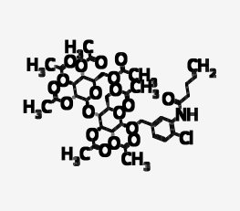 C=CCCC(=O)Nc1cc(CO[C@@H]2O[C@H](COC(C)=O)[C@@H](O[C@@H]3O[C@H](COC(C)=O)[C@@H](OC(C)=O)[C@H](OC(C)=O)[C@H]3OC(C)=O)[C@H](OC(C)=O)[C@H]2OC(C)=O)ccc1Cl